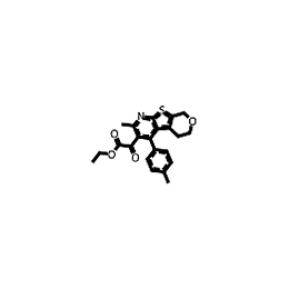 CCOC(=O)C(=O)c1c(C)nc2sc3c(c2c1-c1ccc(C)cc1)CCOC3